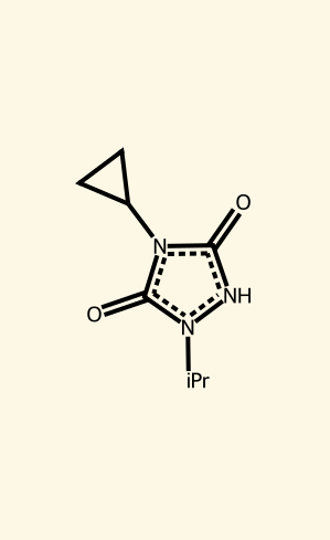 CC(C)n1[nH]c(=O)n(C2CC2)c1=O